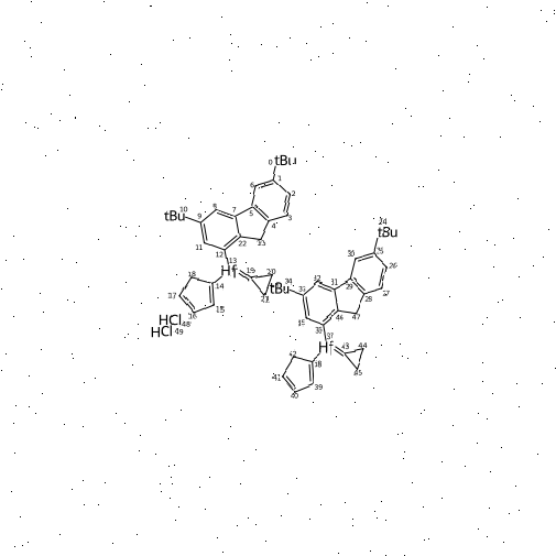 CC(C)(C)c1ccc2c(c1)-c1cc(C(C)(C)C)c[c]([Hf]([C]3=CC=CC3)=[C]3CC3)c1C2.CC(C)(C)c1ccc2c(c1)-c1cc(C(C)(C)C)c[c]([Hf]([C]3=CC=CC3)=[C]3CC3)c1C2.Cl.Cl